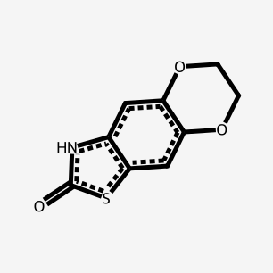 O=c1[nH]c2cc3c(cc2s1)OCCO3